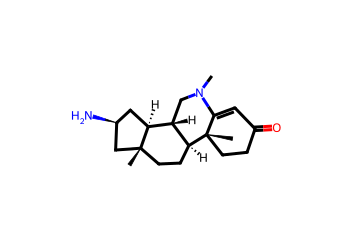 CN1C[C@H]2[C@@H]3C[C@H](N)C[C@@]3(C)CC[C@@H]2[C@@]2(C)CCC(=O)C=C12